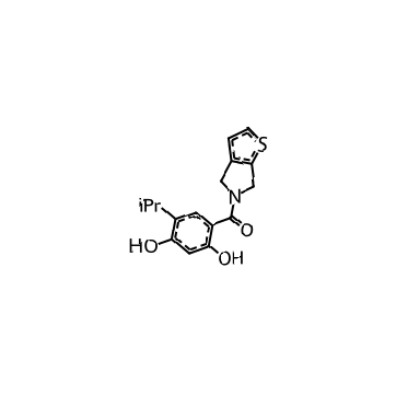 CC(C)c1cc(C(=O)N2Cc3ccsc3C2)c(O)cc1O